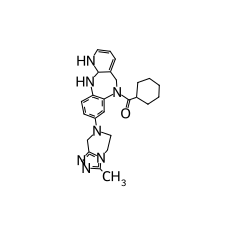 Cc1nnc2n1CCN(c1ccc3c(c1)N(C(=O)C1CCCCC1)CC1=CC=CNC1N3)C2